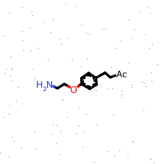 CC(=O)CCc1ccc(OCCN)cc1